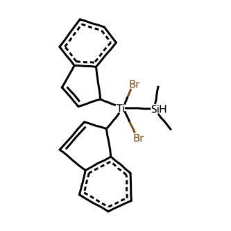 C[SiH](C)[Ti]([Br])([Br])([CH]1C=Cc2ccccc21)[CH]1C=Cc2ccccc21